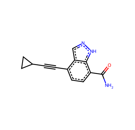 NC(=O)c1ccc(C#CC2CC2)c2cn[nH]c12